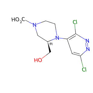 O=C(O)N1CCN(c2cc(Cl)nnc2Cl)[C@@H](CO)C1